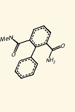 CNC(=O)c1cccc(C(N)=O)c1-c1ccccc1